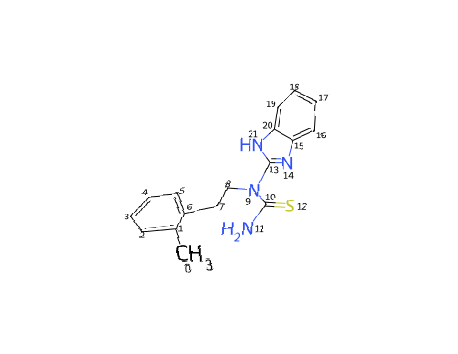 Cc1ccccc1CCN(C(N)=S)c1nc2ccccc2[nH]1